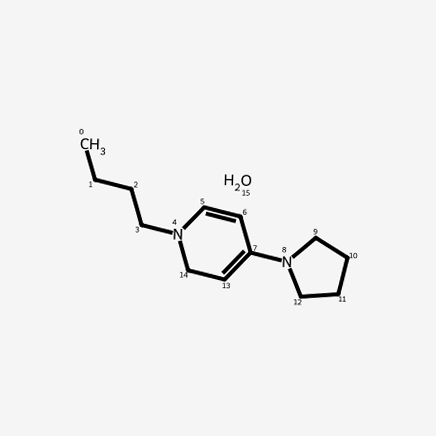 CCCCN1C=CC(N2CCCC2)=CC1.O